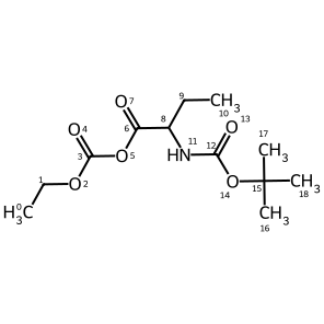 CCOC(=O)OC(=O)C(CC)NC(=O)OC(C)(C)C